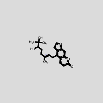 C/C(=C\Cc1c2ccoc2cc2oc(=O)ccc12)CCC(O)C(C)(C)O